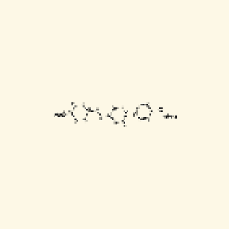 CCCCCCOc1ccc(-c2ccc(CCC3CCC(CCCCCC)CC3)cn2)cc1